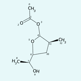 CC(=O)OC1OC([C@H](C)O)C[C@@H]1C